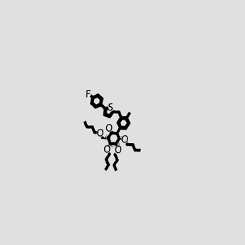 CCCCOC[C@H]1C(=O)C(c2ccc(C)c(Cc3ccc(-c4ccc(F)cc4)s3)c2)[C@H](OCCCC)[C@@H](OCCCC)[C@@H]1OCCCC